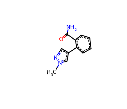 Cn1cc(-c2ccccc2C(N)=O)cn1